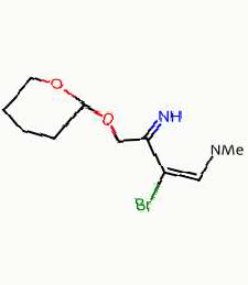 CN/C=C(/Br)C(=N)COC1CCCCO1